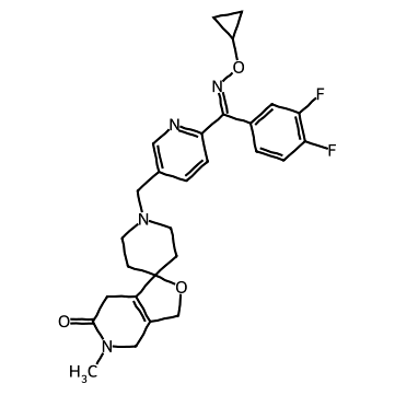 CN1CC2=C(CC1=O)C1(CCN(Cc3ccc(C(=NOC4CC4)c4ccc(F)c(F)c4)nc3)CC1)OC2